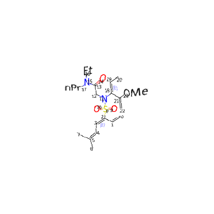 C=C/C(=C\C=C(C)C)S(=O)(=O)N(CC(=O)N(CC)CCC)/C(=C/C)C(=C)OC